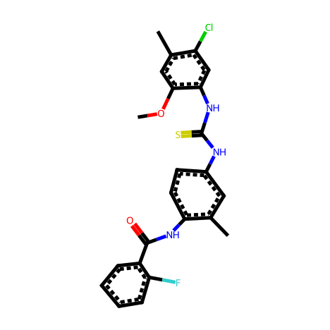 COc1cc(C)c(Cl)cc1NC(=S)Nc1ccc(NC(=O)c2ccccc2F)c(C)c1